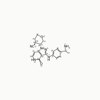 CC(N)c1ccc(Nc2nn([C@H]3COCC[C@@H]3C#N)c3cc[nH]c(=O)c23)cc1